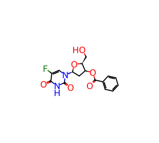 O=C(OC1C[C@@H](n2cc(F)c(=O)[nH]c2=O)O[C@H]1CO)c1ccccc1